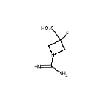 N=C(N)N1CC(F)(C(=O)O)C1